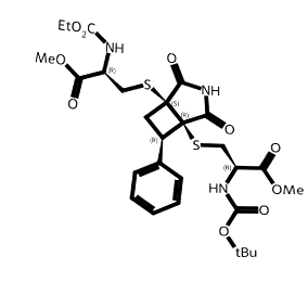 CCOC(=O)N[C@@H](CS[C@]12C[C@H](c3ccccc3)[C@@]1(SC[C@H](NC(=O)OC(C)(C)C)C(=O)OC)C(=O)NC2=O)C(=O)OC